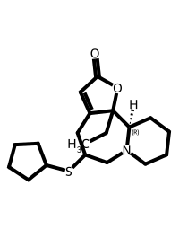 CCC12OC(=O)C=C1CC(SC1CCCC1)CN1CCCC[C@@H]12